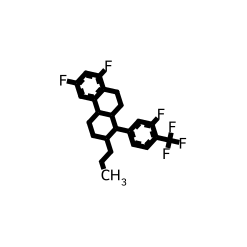 CCCC1CCC2c3cc(F)cc(F)c3CCC2C1c1ccc(C(F)(F)F)c(F)c1